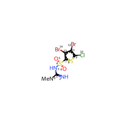 CNC(=N)NS(=O)(=O)c1sc(Cl)c(Br)c1Br